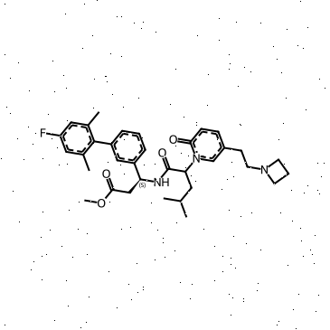 COC(=O)C[C@H](NC(=O)C(CC(C)C)n1cc(CCN2CCC2)ccc1=O)c1cccc(-c2c(C)cc(F)cc2C)c1